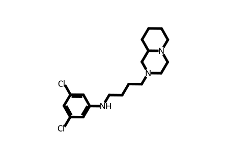 Clc1cc(Cl)cc(NCCCCN2CCN3CCCCC3C2)c1